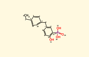 CCc1ccc(Cc2ccc(O)c(P(=O)(O)O)c2)cc1